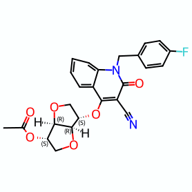 CC(=O)O[C@H]1CO[C@H]2[C@@H]1OC[C@@H]2Oc1c(C#N)c(=O)n(Cc2ccc(F)cc2)c2ccccc12